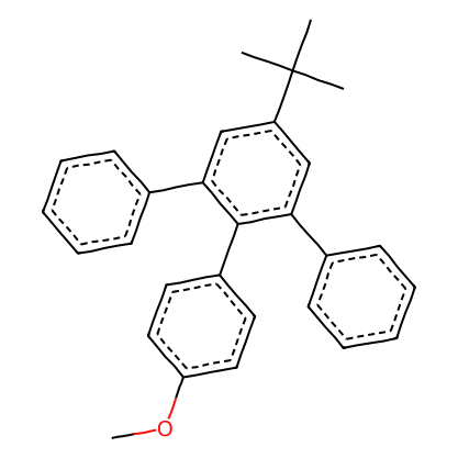 COc1ccc(-c2c(-c3ccccc3)cc(C(C)(C)C)cc2-c2ccccc2)cc1